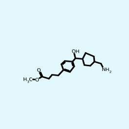 COC(=O)CCCc1ccc(C(O)C2CCC(CN)CC2)cc1